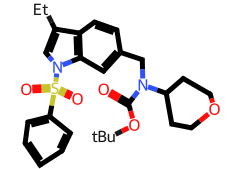 CCc1cn(S(=O)(=O)c2ccccc2)c2cc(CN(C(=O)OC(C)(C)C)C3CCOCC3)ccc12